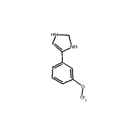 FC(F)(F)Oc1cccc(C2=CNCN2)c1